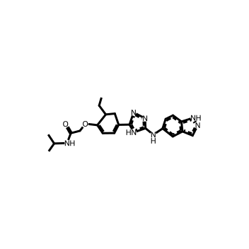 CCC1CC(c2nnc(Nc3ccc4[nH]ncc4c3)[nH]2)=CC=C1OCC(=O)NC(C)C